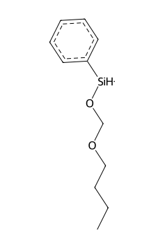 CCCCOCO[SiH]c1ccccc1